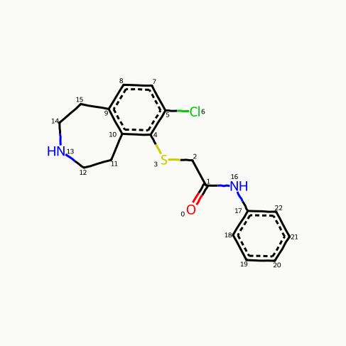 O=C(CSc1c(Cl)ccc2c1CCNCC2)Nc1ccccc1